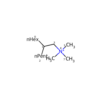 CCCCCCC(CCCCC)C[N+](C)(C)C